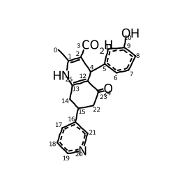 CC1=C(C(=O)O)C(c2cccc(O)c2)C2=C(CC(c3cccnc3)CC2=O)N1